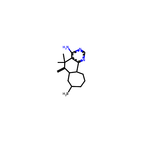 BC1CCCC2c3ncnc(N)c3C(C)(C)C(=C)C2C1